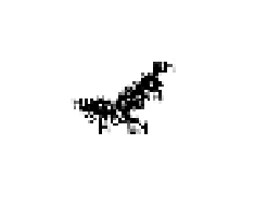 C#Cc1ccc2[nH]c(S(=O)(=O)N3CCN(C(=O)N4CCC5=C(N4)SCN5)C(CCC#N)C3)cc2c1